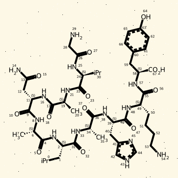 CC(C)C[C@H](NC(=O)[C@H](C)NC(=O)[C@H](CC(N)=O)NC(=O)[C@H](C)NC(=O)[C@@H](NC(=O)CN)C(C)C)C(=O)N[C@@H](C)C(=O)N[C@@H](Cc1c[nH]cn1)C(=O)N[C@@H](CCCCN)C(=O)N[C@@H](Cc1ccc(O)cc1)C(=O)O